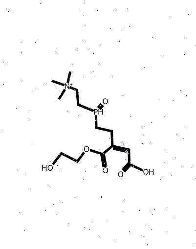 C[N+](C)(C)CC[PH](=O)CC/C(=C/C(=O)O)C(=O)OCCO